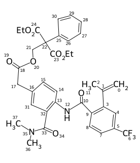 C=C(C)c1cc(C(F)(F)F)ccc1C(=O)Nc1ccc(CC(=O)OCC(C(=O)OCC)(C(=O)OCC)c2ccccc2)cc1C(=O)N(C)C